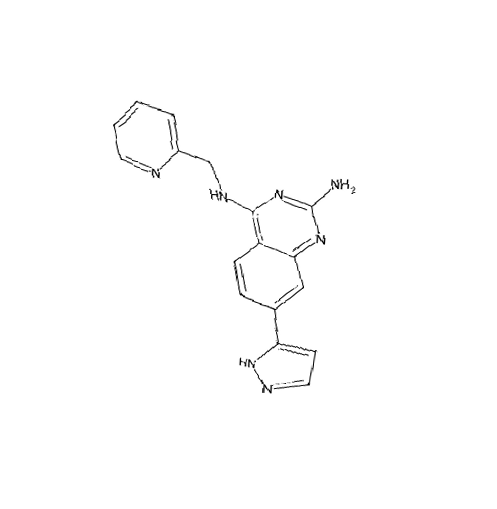 Nc1nc(NCc2ccccn2)c2ccc(-c3ccn[nH]3)cc2n1